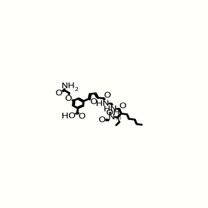 CCCCCC(C(=O)NCNC(=O)c1ccc(-c2cc(OCC(N)=O)cc(C(=O)O)c2)o1)[C@@H](CC)N(O)C=O